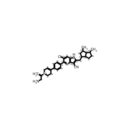 C=C(CN)N1CC=C(c2ccc(-c3nc4c(C#N)c(CC5CC(C)C6C(C)CCC56)[nH]c4cc3Cl)cc2)CC1